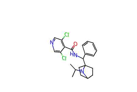 CC(C)N1C2CCC1(C(NC(=O)c1c(Cl)cncc1Cl)c1ccccc1)CC2